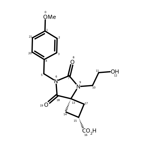 COc1ccc(CN2C(=O)N(CCO)[C@]3(C[C@@H](C(=O)O)C3)C2=O)cc1